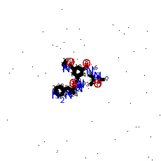 Cc1nc(CN(C)C(=O)c2cc(-c3ncco3)cc(-c3nnc(C(C)(N)Cc4ccccc4)o3)c2)c(C)o1